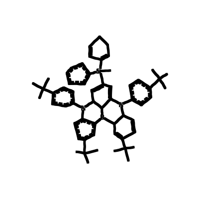 CC(C)(C)C1=CC2B3c4cc(C(C)(C)C)ccc4N(c4ccc(C(C)(C)C)cc4)C4C=C([Si](C)(C5=CCCC=C5)c5ccccc5)C=C(C34)N(c3ccc(C(C)(C)C)cc3)C2C=C1